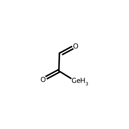 O=C[C](=O)[GeH3]